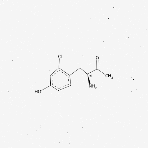 CC(=O)[C@@H](N)Cc1ccc(O)cc1Cl